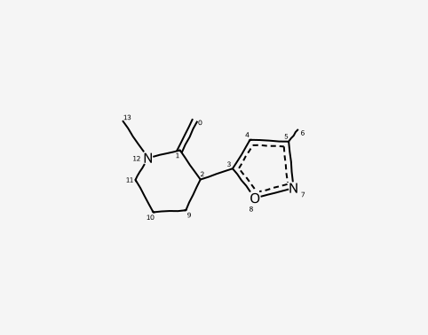 C=C1C(c2cc(C)no2)CCCN1C